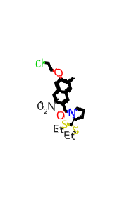 CCSC(SCC)[C@@H]1CCCN1C(=O)c1cc2cc(C)c(OCCCl)cc2cc1[N+](=O)[O-]